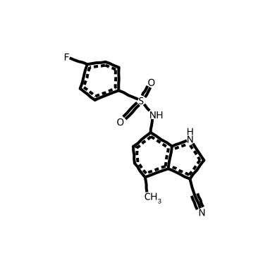 Cc1ccc(NS(=O)(=O)c2ccc(F)cc2)c2[nH]cc(C#N)c12